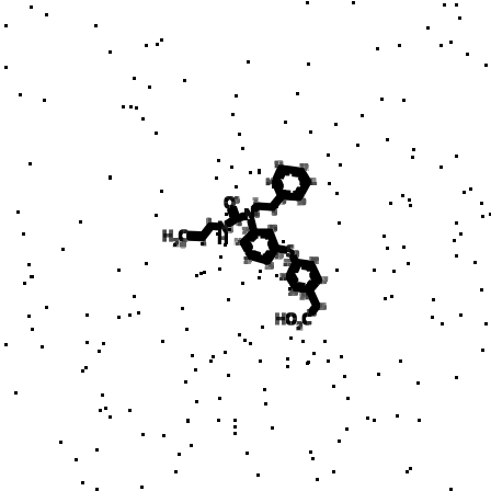 C=CCNC(=O)N(CCc1ccccc1)c1cccc(Sc2ccc(CC(=O)O)cc2)c1